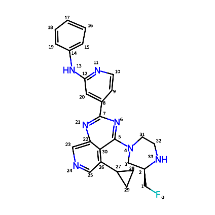 FC[C@H]1CN(c2nc(-c3ccnc(Nc4ccccc4)c3)nc3cncc(C4CC4)c23)CCN1